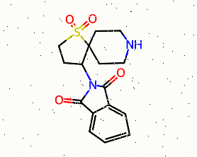 O=C1c2ccccc2C(=O)N1C1CCS(=O)(=O)C12CCNCC2